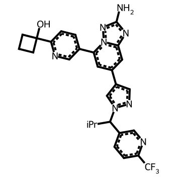 CC(C)C(c1ccc(C(F)(F)F)nc1)n1cc(-c2cc(-c3ccc(C4(O)CCC4)nc3)n3nc(N)nc3c2)cn1